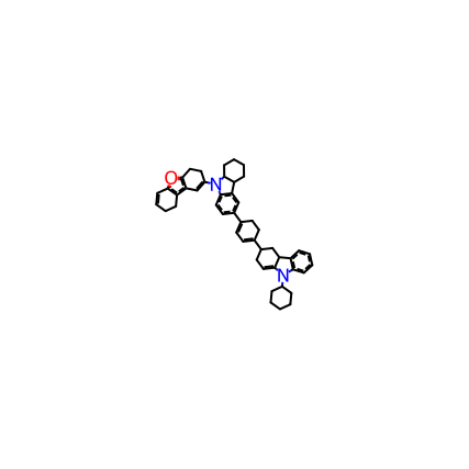 C1=Cc2oc3c(c2CC1)C=C(N1c2ccc(C4=CC=C(C5CC=C6C(C5)c5ccccc5N6C5CCCCC5)CC4)cc2C2CCCCC21)CC3